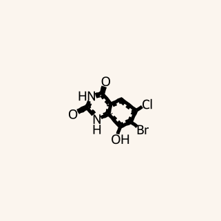 O=c1[nH]c(=O)c2cc(Cl)c(Br)c(O)c2[nH]1